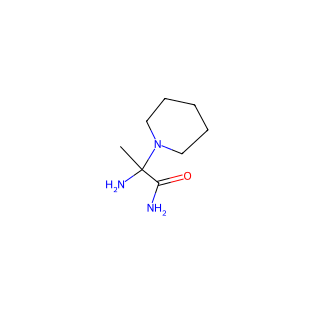 CC(N)(C(N)=O)N1CCCCC1